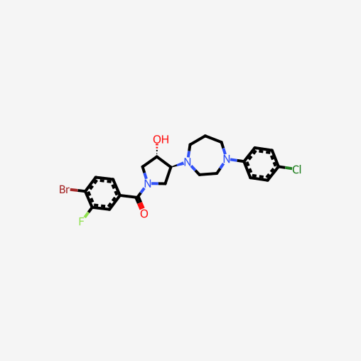 O=C(c1ccc(Br)c(F)c1)N1C[C@H](O)[C@@H](N2CCCN(c3ccc(Cl)cc3)CC2)C1